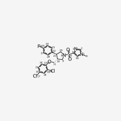 Cn1cnc(S(=O)(=O)N2C[C@H](COc3ccc(Cl)cc3Cl)[C@@H](c3ccc(F)cc3)C2)c1